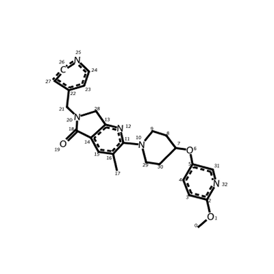 COc1ccc(OC2CCN(c3nc4c(cc3C)C(=O)N(Cc3ccncc3)C4)CC2)cn1